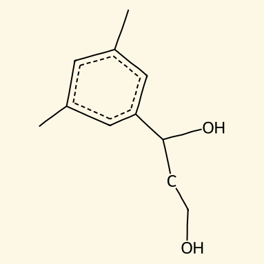 Cc1cc(C)cc(C(O)CCO)c1